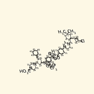 CC1(C)CCC(CN2CCN(c3ccc(C(=O)NS(=O)(=O)c4ccc(NC(CCN5CCN(C(=O)O)CC5)CSc5ccccc5)c(S(=O)(=O)C(F)(F)F)c4)cc3)CC2)=C(C23CC(Cl)(C2)C3)C1